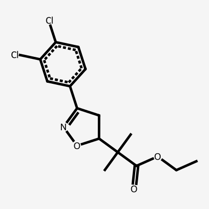 CCOC(=O)C(C)(C)C1CC(c2ccc(Cl)c(Cl)c2)=NO1